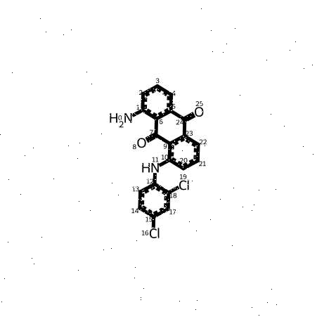 Nc1cccc2c1C(=O)c1c(Nc3ccc(Cl)cc3Cl)cccc1C2=O